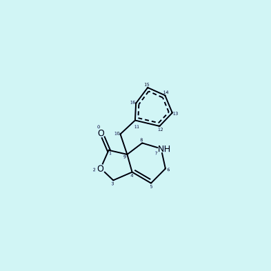 O=C1OCC2=CCNCC12Cc1ccccc1